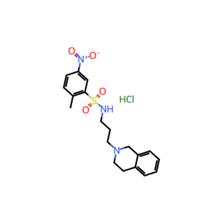 Cc1ccc([N+](=O)[O-])cc1S(=O)(=O)NCCCN1CCc2ccccc2C1.Cl